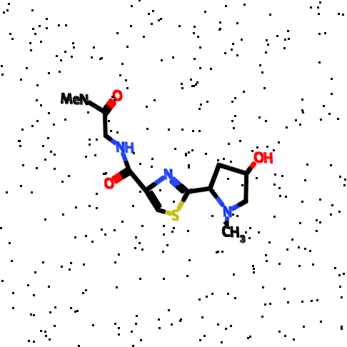 CNC(=O)CNC(=O)c1csc(C2CC(O)CN2C)n1